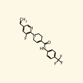 C=Cc1cnc(N2CC=C(C(=O)Nc3ccc(C(F)(F)F)cc3)CC2)c(F)c1